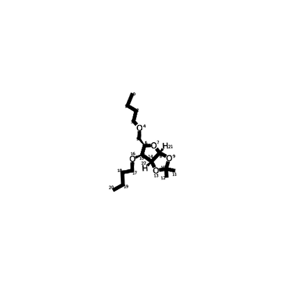 CCCCOC[C@H]1O[C@@H]2OC(C)(C)O[C@@H]2[C@H]1OCCCC